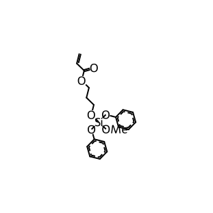 C=CC(=O)OCCCO[Si](OC)(Oc1ccccc1)Oc1ccccc1